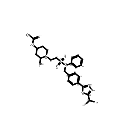 CC(C)(C)C1CC(OC(N)=O)CCN1CCS(=O)(=O)N(Cc1ccc(-c2nnc(C(F)F)o2)cc1)c1ccccc1